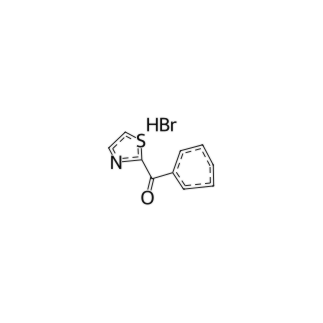 Br.O=C(c1ccccc1)c1nccs1